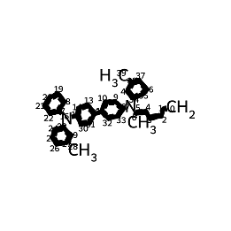 C=C/C=C\C=C(/C)N(c1ccc(-c2ccc(N(c3ccccc3)c3cccc(C)c3)cc2)cc1)c1cccc(C)c1